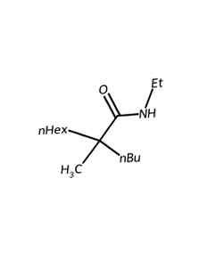 CCCCCCC(C)(CCCC)C(=O)NCC